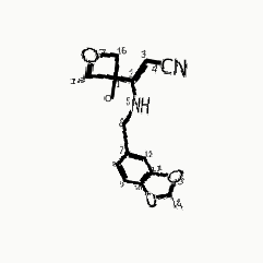 CC1(/C(=C/C#N)NCc2ccc3c(c2)OCO3)COC1